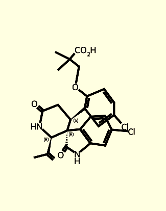 C=C(C)[C@H]1NC(=O)C[C@@H](c2cc(Cl)ccc2OCC(C)(C)C(=O)O)[C@]12C(=O)Nc1cc(Cl)ccc12